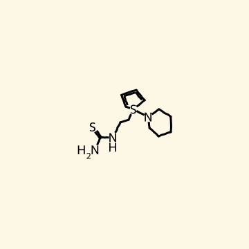 NC(=S)NCCS1(N2CCCCC2)C=C=C=C1